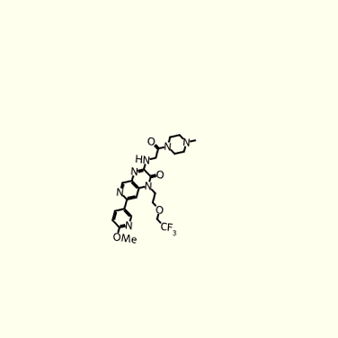 COc1ccc(-c2cc3c(cn2)nc(NCC(=O)N2CCN(C)CC2)c(=O)n3CCOCC(F)(F)F)cn1